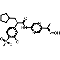 C/C(=N\O)c1cnc(NC(=O)[C@H](CC2CCCC2)c2ccc(S(C)(=O)=O)c(Cl)c2)cn1